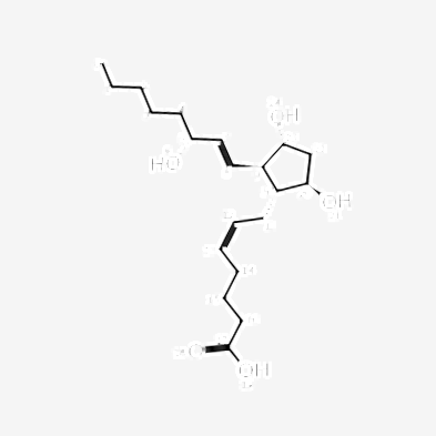 CCCCC[C@@H](O)/C=C/[C@@H]1[C@@H](C/C=C\CCCC(=O)O)[C@H](O)C[C@H]1O